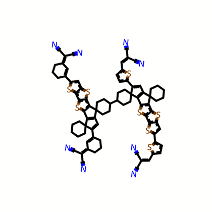 N#CC(C#N)=Cc1ccc(C2=CC3=C(c4sc5c(sc6cc(-c7ccc(C=C(C#N)C#N)s7)sc65)c4C34CCCCC4)C23CCC(C2CCC4(CC2)C2=C(c5sc6c(sc7cc(C8=CC(=C(C#N)C#N)CCC8)sc76)c54)C4(CCCCC4)C(C4=CC(=C(C#N)C#N)CCC4)=C2)CC3)s1